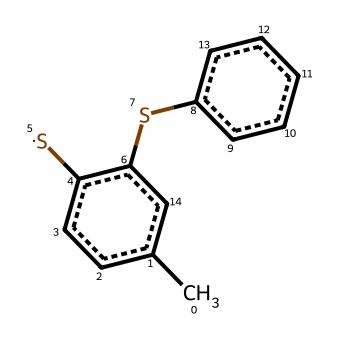 Cc1ccc([S])c(Sc2ccccc2)c1